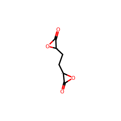 O=C1O[C]1CC[C]1OC1=O